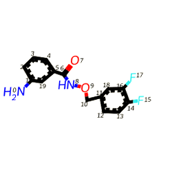 Nc1cccc(C(=O)NOCc2ccc(F)c(F)c2)c1